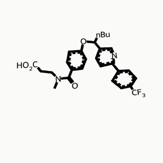 CCCCC(Oc1ccc(C(=O)N(C)CCC(=O)O)cc1)c1ccc(-c2ccc(C(F)(F)F)cc2)nc1